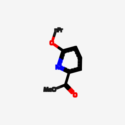 CCCOc1cccc(C(=O)OC)n1